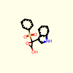 O=S(=O)(c1ccccc1)C1(c2c[nH]c3ccccc23)OC1O